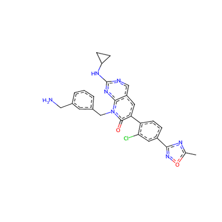 Cc1nc(-c2ccc(-c3cc4cnc(NC5CC5)nc4n(Cc4cccc(CN)c4)c3=O)c(Cl)c2)no1